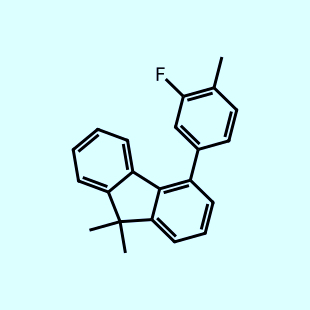 Cc1ccc(-c2cccc3c2-c2ccccc2C3(C)C)cc1F